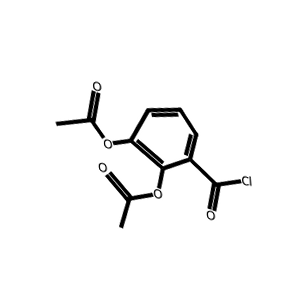 CC(=O)Oc1cccc(C(=O)Cl)c1OC(C)=O